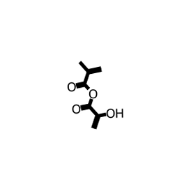 C=C(C)C(=O)OC(=O)C(=C)O